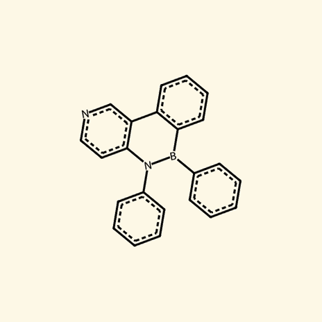 c1ccc(B2c3ccccc3-c3cnccc3N2c2ccccc2)cc1